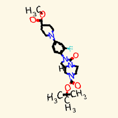 COC(=O)C1CCN(c2ccc(N3C[C@@H]4CN(C(=O)OC(C)(C)C)CCN4C3=O)c(F)c2)CC1